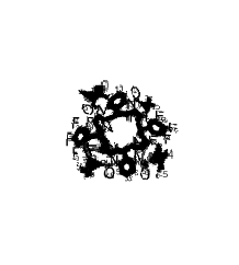 CC1(C)C[C@@H]1C(=O)Nc1cccc(NC(=O)[C@@H]2CC2(C)C)c1-c1c2nc(c(-c3c(F)c(F)c(F)c(F)c3F)c3ccc([nH]3)c(-c3c(NC(=O)[C@H]4CC4(C)C)cccc3NC(=O)[C@@H]3CC3(C)C)c3nc(c(-c4c(F)c(F)c(F)c(F)c4F)c4ccc1[nH]4)C=C3)C=C2